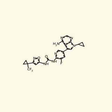 Nc1ncnc2c1c(-c1cnc(NC(=O)Nc3cc(C4(C(F)(F)F)CC4)no3)c(F)c1)cn2C1CC1